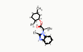 CCc1nc2ccccc2n1[C@@H](C(=O)O[C@@H]1CC(C)CCC1C(C)C)C(C)(C)C